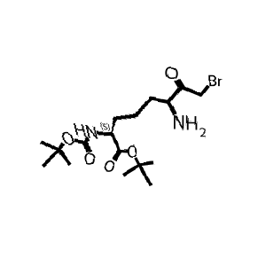 CC(C)(C)OC(=O)N[C@@H](CCCC(N)C(=O)CBr)C(=O)OC(C)(C)C